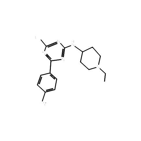 CSc1ccc(-c2nc(NC3CCN(CC(C)C)CC3)nc(C(Cl)(Cl)Cl)n2)cc1